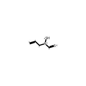 C=C[CH]N(S)C=S